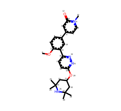 COc1ccc(-c2ccn(C)c(=O)c2)cc1-c1ccc(OC2CC(C)(C)NC(C)(C)C2)nn1